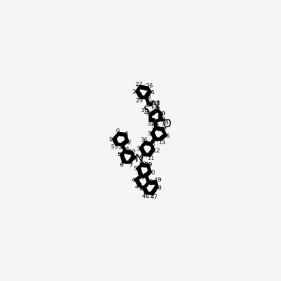 c1ccc(-c2cccc(N(c3ccc(-c4ccc5oc6cc7nc(-c8ccccc8)sc7cc6c5c4)cc3)c3ccc4c(ccc5ccccc54)c3)c2)cc1